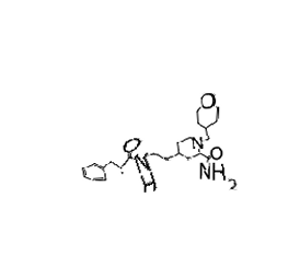 NC(=O)C1CC(CCNC(=O)[CH]Cc2ccccc2)CCN1CC1CCOCC1